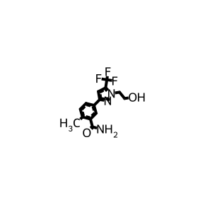 Cc1ccc(-c2cc(C(F)(F)F)n(CCO)n2)cc1C(N)=O